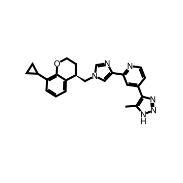 Cc1[nH]nnc1-c1ccnc(-c2cn(C[C@@H]3CCOc4c(C5CC5)cccc43)cn2)c1